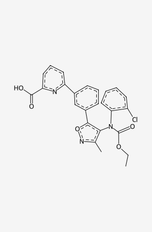 CCOC(=O)N(c1ccccc1Cl)c1c(C)noc1-c1cccc(-c2cccc(C(=O)O)n2)c1